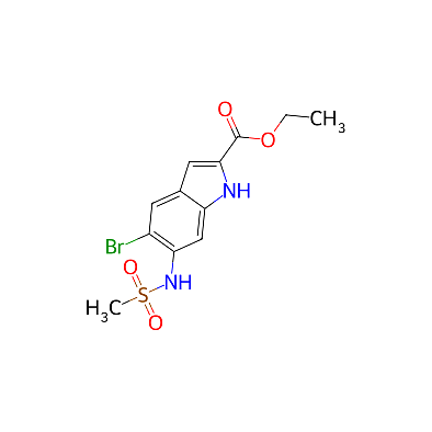 CCOC(=O)c1cc2cc(Br)c(NS(C)(=O)=O)cc2[nH]1